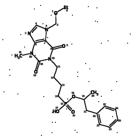 CCOCn1cnc2c1c(=O)n(CCCCP(=O)(O)OC(C)Cc1ccccc1)c(=O)n2C